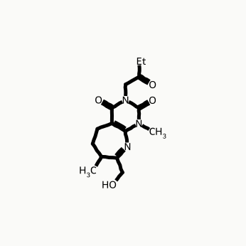 CCC(=O)Cn1c(=O)c2c(n(C)c1=O)N=C(CO)C(C)CC2